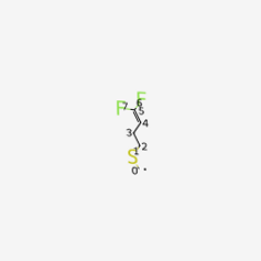 [CH2]SCCC=C(F)F